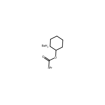 CCCC(=O)OC1CCCCC1.[BaH2]